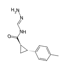 Cc1ccc([C@@H]2C[C@H]2C(=O)NC=NN)cc1